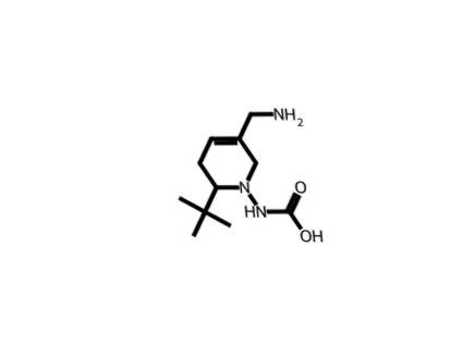 CC(C)(C)C1CC=C(CN)CN1NC(=O)O